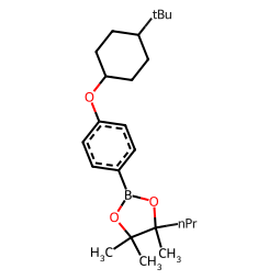 CCCC1(C)OB(c2ccc(OC3CCC(C(C)(C)C)CC3)cc2)OC1(C)C